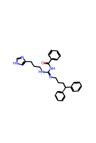 O=C(N/C(=N\CCCC(c1ccccc1)c1ccccc1)NCCCc1c[nH]cn1)c1ccccc1